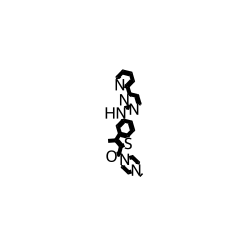 Cc1c(C(=O)N2CCN(C)CC2)sc2ccc(Nc3nccc(-c4ccccn4)n3)cc12